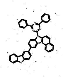 c1ccc(-c2nc(-c3ccccc3)nc(-n3c4ccc(-c5ccc6sc7ccccc7c6c5)cc4c4c5ccccc5ccc43)n2)cc1